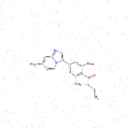 COc1cc(-c2cnc3cc(C(=O)O)ccn23)cc(OC)c1C(=O)NCC(F)(F)F